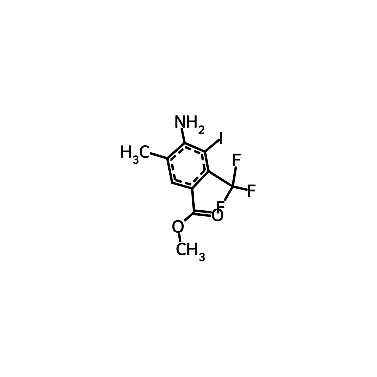 COC(=O)c1cc(C)c(N)c(I)c1C(F)(F)F